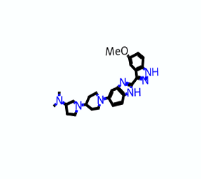 COc1ccc2[nH]nc(-c3nc4cc(N5CCC(N6CCC(N(C)C)C6)CC5)ccc4[nH]3)c2c1